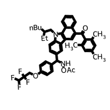 CCCCC(CC)Cn1c2ccc(C(NOC(C)=O)c3ccc(OCC(F)(F)C(F)F)cc3)cc2c2cc(C(=O)c3c(C)cc(C)cc3C)c3ccccc3c21